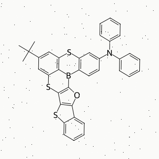 CC(C)(C)c1cc2c3c(c1)Sc1c(oc4c1sc1ccccc14)B3c1ccc(N(c3ccccc3)c3ccccc3)cc1S2